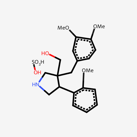 COc1ccc(CC2(CO)CNCC2c2ccccc2OC)cc1OC.O=S(=O)(O)O